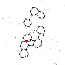 c1ccc(N(c2cccc(-c3cccc4ccccc34)c2)c2cccc3oc4ccc5c(sc6ccc7ccccc7c65)c4c23)cc1